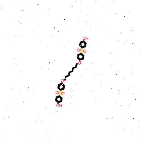 O=S(=O)(c1ccc(O)cc1)c1ccc(OCCCCCCCCOc2ccc(S(=O)(=O)c3ccc(O)cc3)cc2)cc1